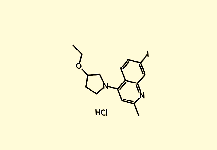 CCOC1CCN(c2cc(C)nc3cc(I)ccc23)C1.Cl